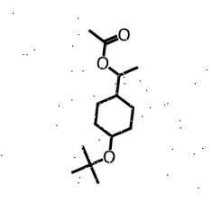 CC(=O)OC(C)C1CCC(OC(C)(C)C)CC1